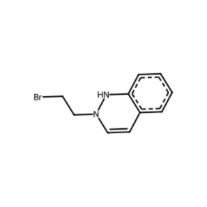 BrCCN1C=Cc2ccccc2N1